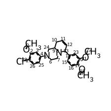 COc1cc(N2CCN3C(CC=CC3c3ccc(OC)c(OC)c3)C2)ccc1Cl